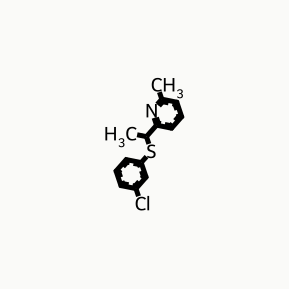 Cc1cccc(C(C)Sc2cccc(Cl)c2)n1